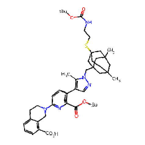 Cc1c(-c2ccc(N3CCc4cccc(C(=O)O)c4C3)nc2C(=O)OC(C)(C)C)cnn1CC12CC3(C)CC(C)(C1)CC(SCCNC(=O)OC(C)(C)C)(C3)C2